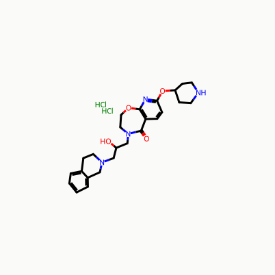 Cl.Cl.O=C1c2ccc(OC3CCNCC3)nc2OCCN1CC(O)CN1CCc2ccccc2C1